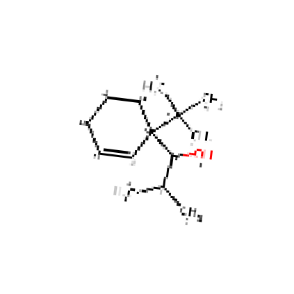 CC(C)C(O)C1(C(C)(C)C)C=CCCC1